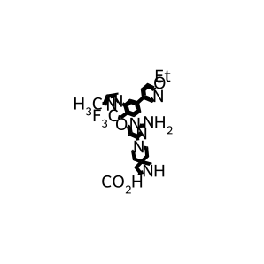 CCOc1ccc(-c2ccc(C(Oc3cc(N4CCC5(CC4)CNC(C(=O)O)C5)nc(N)n3)C(F)(F)F)c(-n3ccc(C)n3)c2)cn1